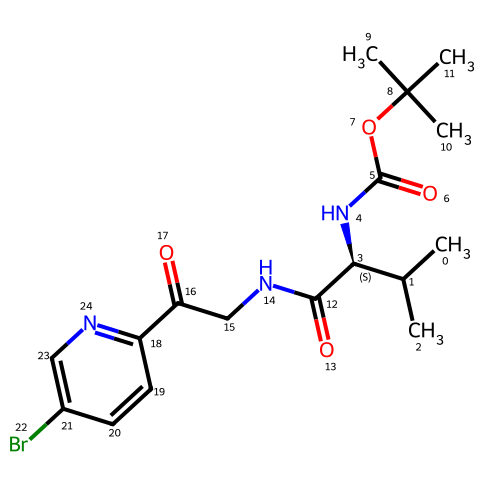 CC(C)[C@H](NC(=O)OC(C)(C)C)C(=O)NCC(=O)c1ccc(Br)cn1